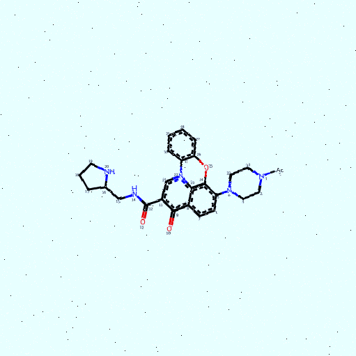 CC(=O)N1CCN(c2ccc3c(=O)c(C(=O)NCC4CCCN4)cn4c3c2Oc2ccccc2-4)CC1